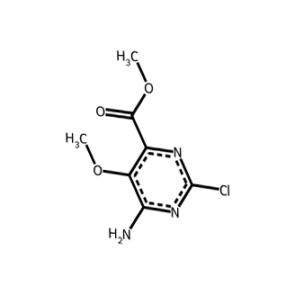 COC(=O)c1nc(Cl)nc(N)c1OC